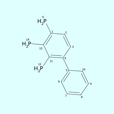 Pc1ccc(-c2ccccc2)c(P)c1P